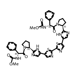 COC(=O)N[C@@H](C(=O)N1CCC[C@H]1c1ncc(-c2cnc(-c3ncc(-c4cnc([C@@H]5CCCN5C(=O)[C@H](NC(=O)OC)c5ccccc5)[nH]4)s3)s2)[nH]1)c1ccccc1